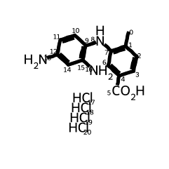 Cc1ccc(C(=O)O)cc1Nc1ccc(N)cc1N.Cl.Cl.Cl.Cl